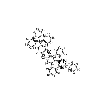 c1ccc(-c2nc(-c3ccccn3)nc(-c3ccccc3-c3ccc4c(c3)Oc3cc5c(cc3O4)C(c3ccccc3)(c3ccccc3)c3ccccc3-5)n2)cc1